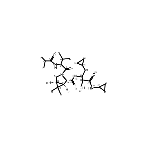 CC(C)C(=O)N[C@H](C(=O)N1C[C@H]2[C@@H]([C@H]1C(=O)NC(CC1CC1)C(O)C(=O)NC1CC1)C2(C)C)C(C)C